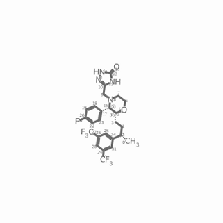 C[C@@H](CC[C@H]1OCCN(Cc2n[nH]c(=O)[nH]2)[C@H]1c1ccc(F)cc1)c1cc(C(F)(F)F)cc(C(F)(F)F)c1